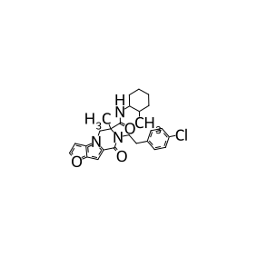 CC1CCCCC1NC(=O)C1(C)Cn2c(cc3occc32)C(=O)N1CCc1ccc(Cl)cc1